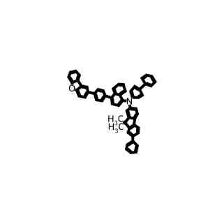 CC1(C)c2cc(-c3ccccc3)ccc2-c2ccc(N(c3ccc(-c4ccccc4)cc3)c3ccc(-c4ccc(-c5ccc6oc7ccccc7c6c5)cc4)c4ccccc34)cc21